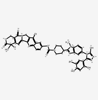 CCc1c2c(nc3ccc(OC(=O)N4CCC(c5nc6cc(-n7c(O)nnc7-c7cc(C(C)C)c(O)cc7O)ccc6n5C)CC4)cc13)-c1cc3c(c(=O)n1C2)COC(=O)C3(O)CC